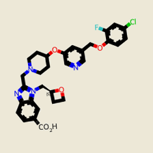 O=C(O)c1ccc2nc(CN3CCC(Oc4cncc(COc5ccc(Cl)cc5F)c4)CC3)n(C[C@@H]3CCO3)c2c1